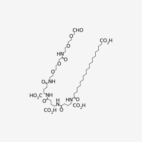 O=CCOCCOCCNC(=O)COCCOCCNC(=O)CC[C@H](NC(=O)CC[C@H](NC(=O)CC[C@H](NC(=O)CCCCCCCCCCCCCCCCCCC(=O)O)C(=O)O)C(=O)O)C(=O)O